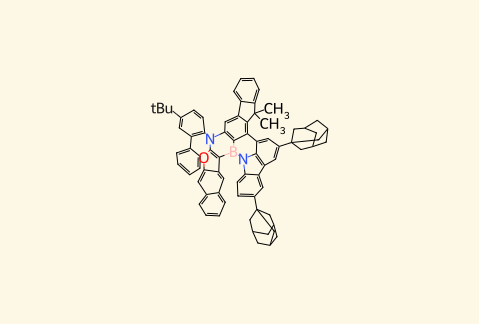 CC(C)(C)c1ccc(N2c3cc4c(c5c3B(c3c2oc2cc6ccccc6cc32)n2c3ccc(C67CC8CC(CC(C8)C6)C7)cc3c3cc(C67CC8CC(CC(C8)C6)C7)cc-5c32)C(C)(C)c2ccccc2-4)c(-c2ccccc2)c1